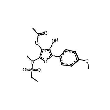 CCS(=O)(=O)N(C)c1oc(-c2ccc(OC)cc2)c(O)c1OC(C)=O